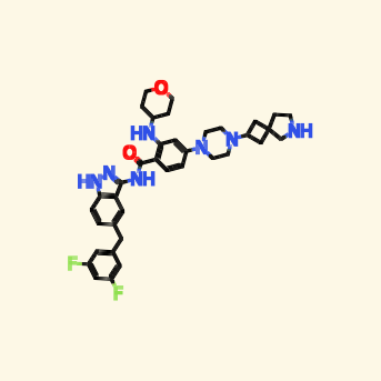 O=C(Nc1n[nH]c2ccc(Cc3cc(F)cc(F)c3)cc12)c1ccc(N2CCN(C3CC4(CCNC4)C3)CC2)cc1NC1CCOCC1